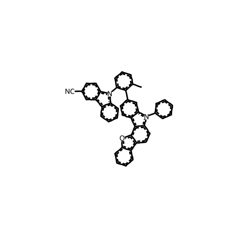 Cc1cccc(-n2c3ccccc3c3cc(C#N)ccc32)c1-c1ccc2c3c4oc5ccccc5c4ccc3n(-c3ccccc3)c2c1